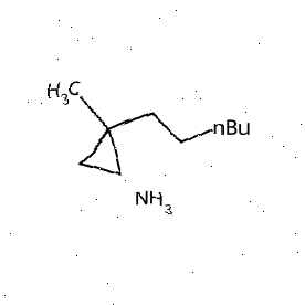 CCCCCCC1(C)CC1.N